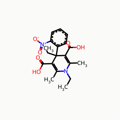 CCN1C(C)=C(C(=O)O)C(CC)(c2ccccc2[N+](=O)[O-])C(C(=O)O)=C1C